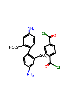 Nc1ccc(-c2ccc(N)cc2S(=O)(=O)O)c(S(=O)(=O)O)c1.O=C(Cl)c1ccc(C(=O)Cl)cc1